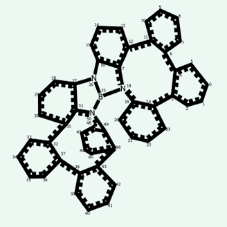 c1ccc2c(c1)c1ccccc1c1cccc3c1n(c1ccccc21)B1N3c2cccc3c4ccccc4c4ccccc4c4ccccc4n1c23